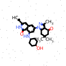 C#Cc1cc2cc(-n3nc(C)c4c3CC(C)(C)CC4=O)cc(N[C@H]3CC[C@H](O)CC3)c2c(=O)[nH]1